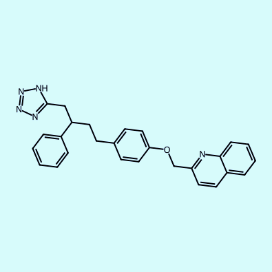 c1ccc(C(CCc2ccc(OCc3ccc4ccccc4n3)cc2)Cc2nnn[nH]2)cc1